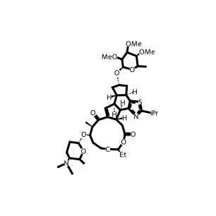 CC[C@H]1CCC[C@H](O[C@H]2CC[C@H](N(C)C)C(C)O2)[C@@H](C)C(=O)C2=C[C@H]3[C@@H]4C[C@H](O[C@@H]5OC(C)[C@H](OC)C(OC)C5OC)C[C@H]4c4sc(C(C)C)nc4[C@H]3[C@@H]2CC(=O)O1